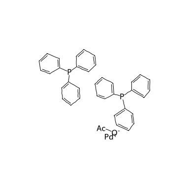 CC(=O)[O-].[Pd+].c1ccc(P(c2ccccc2)c2ccccc2)cc1.c1ccc(P(c2ccccc2)c2ccccc2)cc1